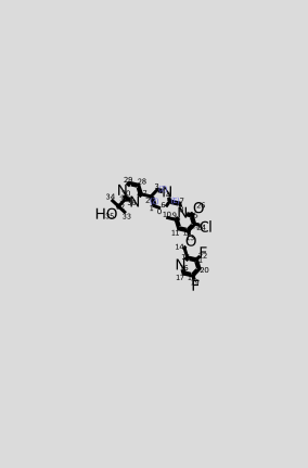 C\C=C(/C=N\C(C)=C\n1c(C)cc(OCc2ncc(F)cc2F)c(Cl)c1=O)c1ccnc(C(C)(C)O)n1